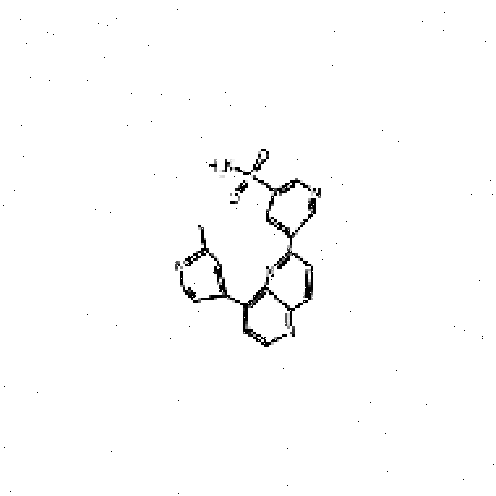 Cc1cc(-c2ccnc3ccc(-c4cncc(S(N)(=O)=O)c4)nc23)ccn1